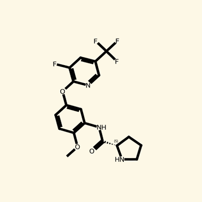 COc1ccc(Oc2ncc(C(F)(F)F)cc2F)cc1NC(=O)[C@@H]1CCCN1